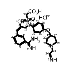 CC(=Cc1cccc(C(=N)N)c1)CN(c1ccc(OC2CCN(CC=N)CC2)cc1)S(=O)(=O)CC(=O)O.Cl